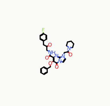 O=C(CNC(=O)c1nc2n(CC(=O)N3CCCCC3)ccn2c(=O)c1OCc1ccccc1)Cc1ccc(F)cc1